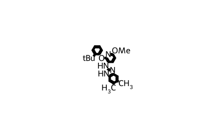 COc1ccc(Nc2nc3cc(C)c(C)cc3[nH]2)c(Oc2ccccc2C(C)(C)C)n1